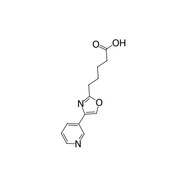 O=C(O)CCCCc1nc(-c2cccnc2)co1